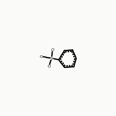 [O][Si](Cl)(Cl)c1ccccc1